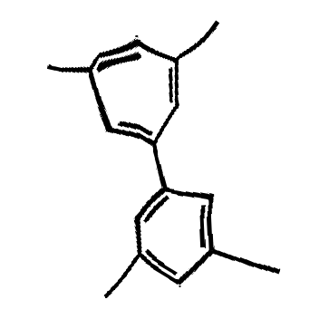 Cc1[c]c(C)cc(-c2cc(C)[c]c(C)c2)c1